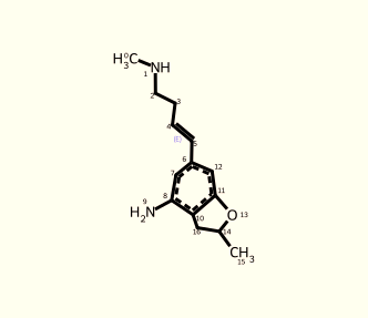 CNCC/C=C/c1cc(N)c2c(c1)OC(C)C2